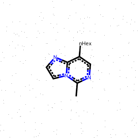 CCCCCCc1cnc(C)n2ccnc12